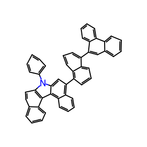 c1ccc(-n2c3ccc4ccccc4c3c3c4ccccc4c(-c4cccc5c(-c6cc7ccccc7c7ccccc67)cccc45)cc32)cc1